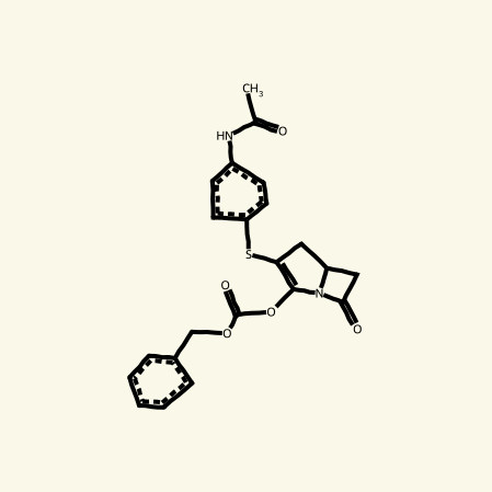 CC(=O)Nc1ccc(SC2=C(OC(=O)OCc3ccccc3)N3C(=O)CC3C2)cc1